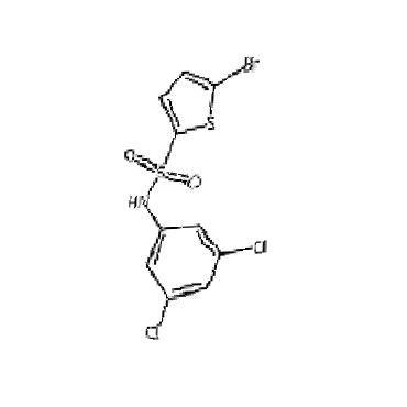 O=S(=O)(Nc1cc(Cl)cc(Cl)c1)c1ccc(Br)s1